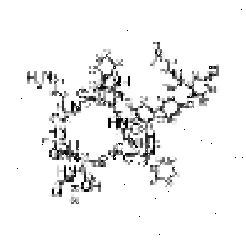 CC(O)[C@@H]1NC(=O)[C@H](CCCCN)NC(=O)[C@@H](Cc2c[nH]c3ccccc23)NC(=O)[C@H](Cc2ccccc2)NC(=O)[C@@H](NC(=O)[C@H](N)Cc2ccccc2)CSSC[C@@H](C(=O)N[C@H](CO)[C@@H](C)O)NC1=O.CN(C)CCOC1=Cc2ccccc2Sc2ccc(Cl)cc21